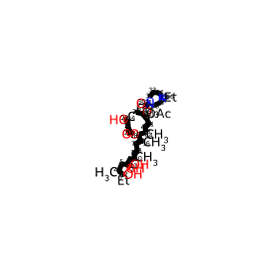 CCC(O)C(C)CC(O)CC(C)(O)/C=C/C=C(\C)C1OC(=O)CC(O)CCC(C)(OC(=O)N2CCCN(CC)CC2)C(OC(C)=O)/C=C/C1C